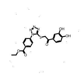 CCOC(=O)c1ccc(-n2nnnc2SCC(=O)c2ccc(O)c(O)c2)cc1